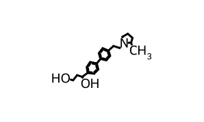 CC1CCCN1CCc1ccc(-c2ccc(C(O)CCO)cc2)cc1